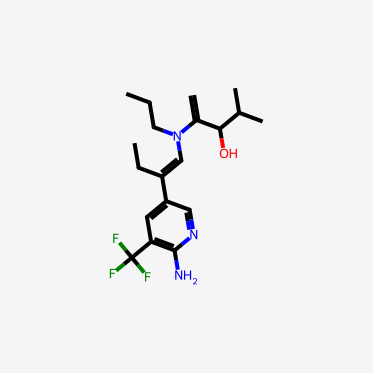 C=C(C(O)C(C)C)N(/C=C(\CC)c1cnc(N)c(C(F)(F)F)c1)CCC